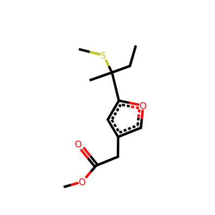 CCC(C)(SC)c1cc(CC(=O)OC)co1